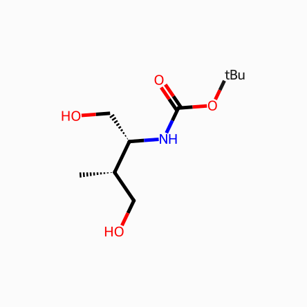 C[C@@H](CO)[C@H](CO)NC(=O)OC(C)(C)C